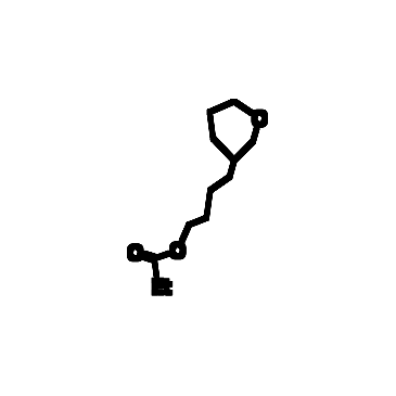 CCC(=O)OCCCCC1CCCOC1